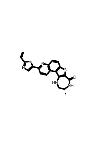 C=Cc1ncc(-c2ccc3c(ccc4sc5c(c43)NC[C@@H](C)NC5=O)n2)s1